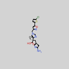 CC[C@](Cc1ccc(N)nc1)(C(=O)O)c1cn(Cc2cc(-c3ccc(Cl)s3)on2)cn1